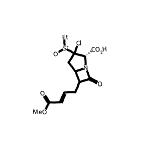 CC[S+]([O-])C1(Cl)CC2C(CC=CC(=O)OC)C(=O)N2[C@H]1C(=O)O